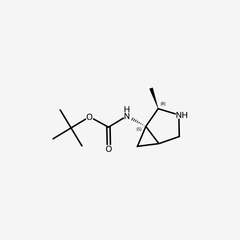 C[C@H]1NCC2C[C@]21NC(=O)OC(C)(C)C